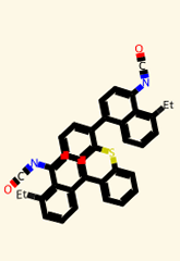 CCc1cccc2c(-c3ccccc3Sc3ccccc3-c3ccc(N=C=O)c4c(CC)cccc34)ccc(N=C=O)c12